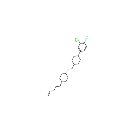 C=CCCC[C@H]1CC[C@H](CCC2CCC(c3ccc(F)c(Cl)c3)CC2)CC1